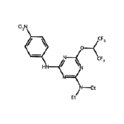 CCN(CC)c1nc(Nc2ccc([N+](=O)[O-])cc2)nc(OC(C(F)(F)F)C(F)(F)F)n1